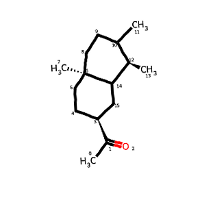 CC(=O)[C@H]1CC[C@@]2(C)CCC(C)[C@@H](C)C2C1